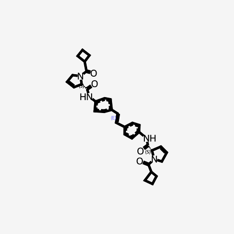 O=C(Nc1ccc(/C=C/c2ccc(NC(=O)[C@@H]3C=CCN3C(=O)C3CCC3)cc2)cc1)[C@@H]1C=CCN1C(=O)C1CCC1